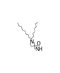 CCCCCCCCC(CCCCCCC)N1CCC2(CNC2=O)C1